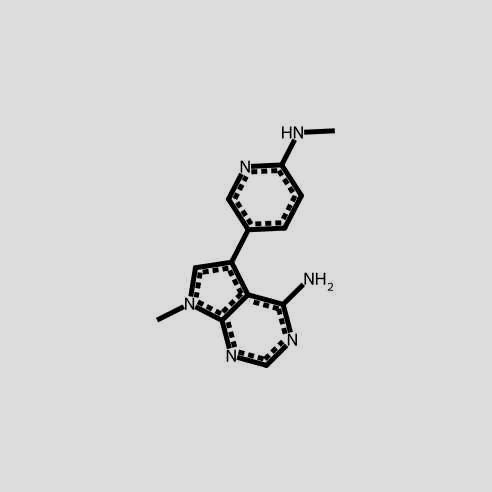 CNc1ccc(-c2cn(C)c3ncnc(N)c23)cn1